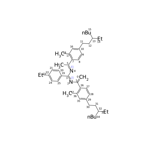 C=C(/N=C(\N=C(/C)c1ccc(CCC(CC)CCCC)cc1C)c1ccc(CC)cc1)c1ccc(CCC(CC)CCCC)cc1C